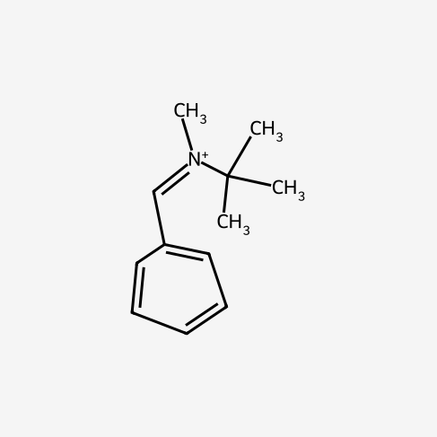 C[N+](=Cc1ccccc1)C(C)(C)C